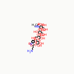 CC(=O)NC1C(O)[C@@H](O)C(CO)O[C@H]1OC1C(O)[C@@H](O[C@H]2C(CO)O[C@@H](O[C@@H]3C(COc4ccc([N+](=O)[O-])cc4)O[C@@H](OCCCCCN)C(O)C3O)C(O)C2O)OC(CO)[C@@H]1O